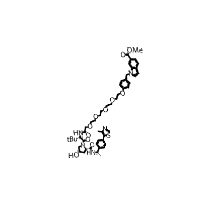 COC(=O)c1ccc2ccn(Cc3ccc(OCCOCCOCCOCCOCC(=O)N[C@H](C(=O)N4C[C@H](O)C[C@H]4C(=O)N[C@@H](C)c4ccc(-c5scnc5C)cc4)C(C)(C)C)cc3)c2c1